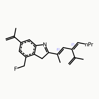 C=C(C)C(=C\CCC)/C=C(\C)C1=Nc2cc(C(=C)C)cc(CF)c2C1